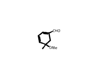 COC1(C)C=CC=C(C=O)C1